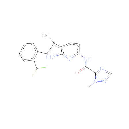 Cn1ncnc1C(=O)Nc1ccc2c(C#N)c(-c3ccccc3C(F)F)[nH]c2n1